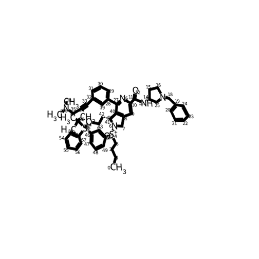 CCCC[S@@+]([O-])N1Cc2cc(C(=O)N[C@@H]3CCN(Cc4ccccc4)C3)nc(-c3cccc(C#CCN(C)C)c3)c2[C@H]1CCO[Si](c1ccccc1)(c1ccccc1)C(C)(C)C